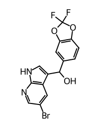 OC(c1ccc2c(c1)OC(F)(F)O2)c1c[nH]c2ncc(Br)cc12